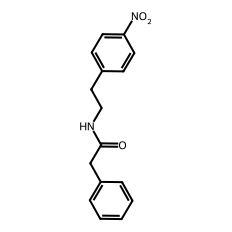 O=C(Cc1ccccc1)NCCc1ccc([N+](=O)[O-])cc1